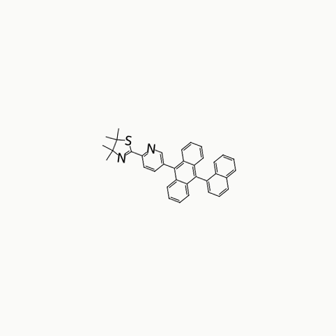 CC1(C)N=C(c2ccc(-c3c4ccccc4c(-c4cccc5ccccc45)c4ccccc34)cn2)SC1(C)C